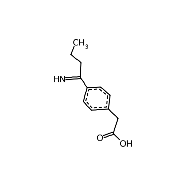 CCCC(=N)c1ccc(CC(=O)O)cc1